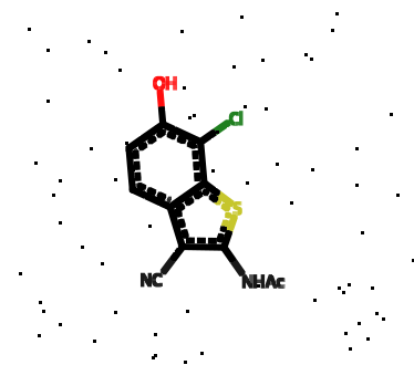 CC(=O)Nc1sc2c(Cl)c(O)ccc2c1C#N